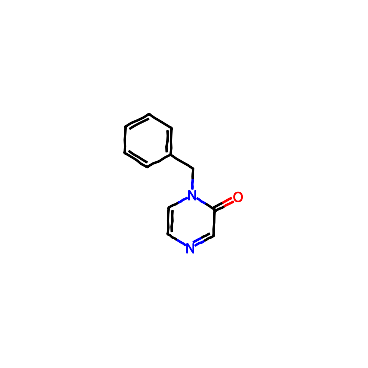 O=c1cnccn1Cc1ccccc1